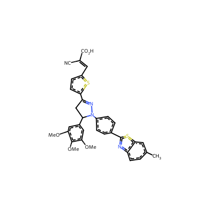 COc1cc(C2CC(c3ccc(/C=C(\C#N)C(=O)O)s3)=NN2c2ccc(-c3nc4ccc(C)cc4s3)cc2)cc(OC)c1OC